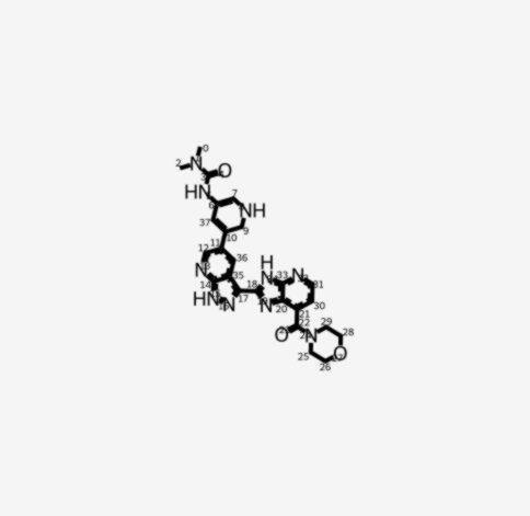 CN(C)C(=O)NC1=CNCC(c2cnc3[nH]nc(-c4nc5c(C(=O)N6CCOCC6)ccnc5[nH]4)c3c2)=C1